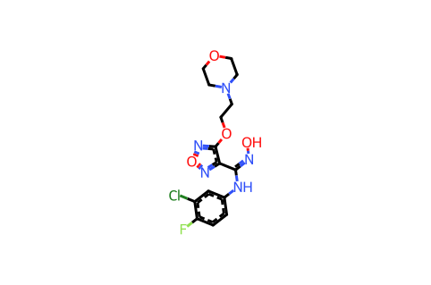 O/N=C(/Nc1ccc(F)c(Cl)c1)c1nonc1OCCN1CCOCC1